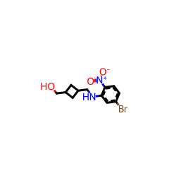 O=[N+]([O-])c1ccc(Br)cc1NCC1CC(CO)C1